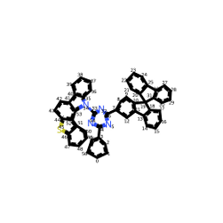 c1ccc(-c2nc(-c3ccc4c(c3)-c3ccccc3C43c4ccccc4-c4ccccc43)nc(-n3c4ccccc4c4ccc5sc6ccccc6c5c43)n2)cc1